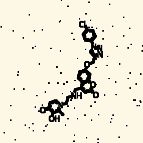 Cc1c(O)c(=O)ccn1CCNCc1cc(=O)oc2cc(OCc3cn(-c4ccc(Cl)cc4)nn3)ccc12